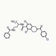 O=C(NCC[C@H](NC(=O)c1c(Cl)cc2c(c1Cl)CCN(C(=O)c1ccc(Cl)cc1)C2)C(=O)O)c1ccccc1